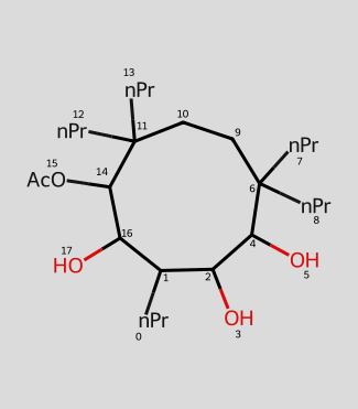 CCCC1C(O)C(O)C(CCC)(CCC)CCC(CCC)(CCC)C(OC(C)=O)C1O